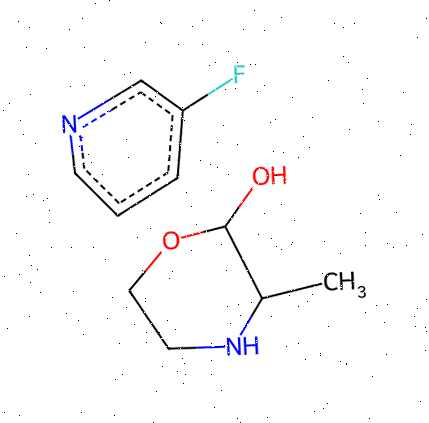 CC1NCCOC1O.Fc1cccnc1